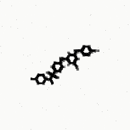 CN1CCC(N(C)S(=O)(=O)c2ccc(Nc3nc(Cl)cc(Nc4ccc(F)cc4)n3)cc2)CC1